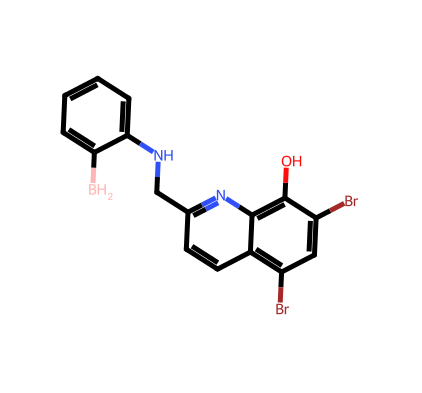 Bc1ccccc1NCc1ccc2c(Br)cc(Br)c(O)c2n1